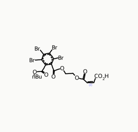 CCCCOC(=O)c1c(Br)c(Br)c(Br)c(Br)c1C(=O)OCCOC(=O)/C=C\C(=O)O